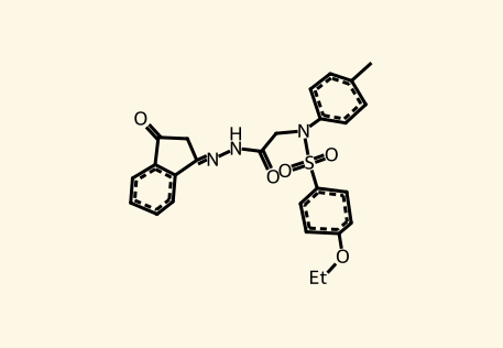 CCOc1ccc(S(=O)(=O)N(CC(=O)N/N=C2\CC(=O)c3ccccc32)c2ccc(C)cc2)cc1